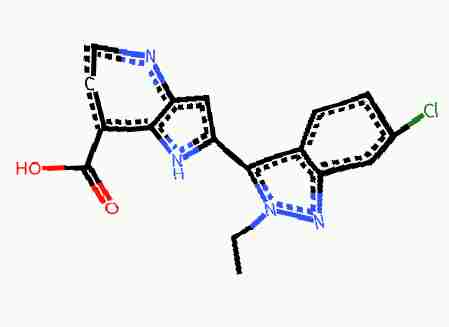 CCn1nc2cc(Cl)ccc2c1-c1cc2nccc(C(=O)O)c2[nH]1